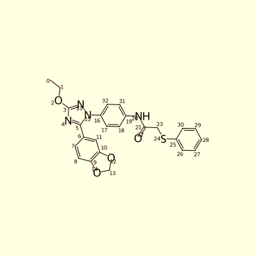 CCOc1nc(-c2ccc3c(c2)OCO3)n(-c2ccc(NC(=O)CSc3ccccc3)cc2)n1